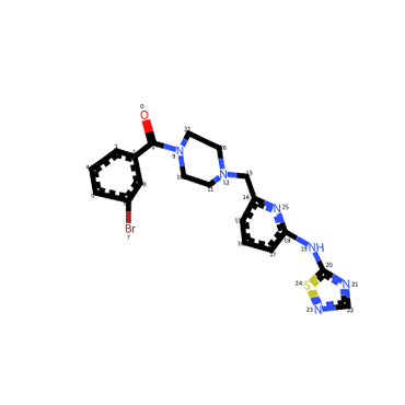 O=C(c1cccc(Br)c1)N1CCN(Cc2cccc(Nc3ncns3)n2)CC1